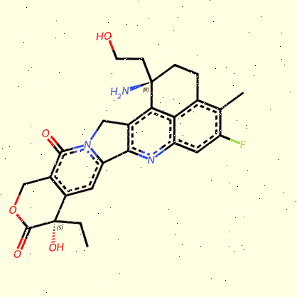 CC[C@@]1(O)C(=O)OCc2c1cc1n(c2=O)Cc2c-1nc1cc(F)c(C)c3c1c2[C@](N)(CCO)CC3